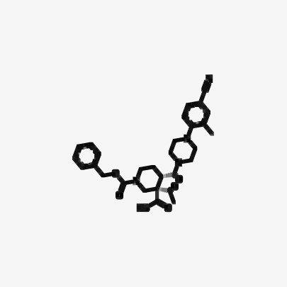 CC(=O)[C@]1(C(=O)O)CN(C(=O)OCc2ccccc2)CC[C@@H]1C(=O)N1CCN(c2ccc(C#N)cc2C)CC1